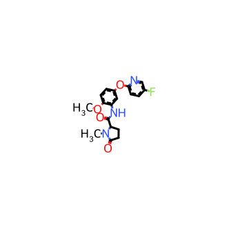 COc1ccc(Oc2ccc(F)cn2)cc1NC(=O)C1CCC(=O)N1C